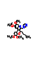 CCCCC(=O)c1c(Cn2ccnc2)nc2cc(OC)c(OC)cc2c1-c1ccc(OC)c(OC)c1